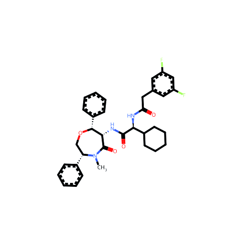 CN1C(=O)[C@@H](NC(=O)[C@@H](NC(=O)Cc2cc(F)cc(F)c2)C2CCCCC2)[C@@H](c2ccccc2)OC[C@H]1c1ccccc1